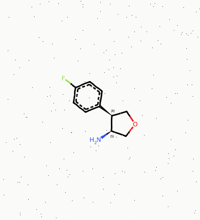 N[C@@H]1COC[C@@H]1c1ccc(F)cc1